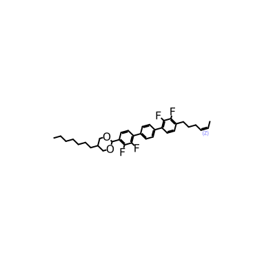 C/C=C\CCCc1ccc(-c2ccc(-c3ccc(C4OCC(CCCCCCC)CO4)c(F)c3F)cc2)c(F)c1F